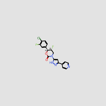 O=C1O[C@@H](c2ccc(Cl)c(F)c2)[C@H](F)CN1c1cc(-c2ccncc2)n[nH]1